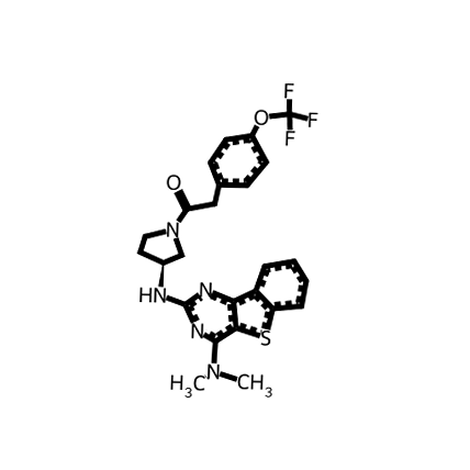 CN(C)c1nc(N[C@H]2CCN(C(=O)Cc3ccc(OC(F)(F)F)cc3)C2)nc2c1sc1ccccc12